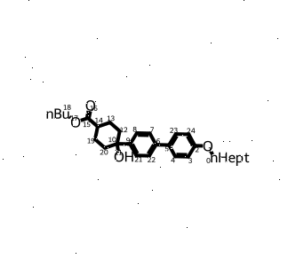 CCCCCCCOc1ccc(-c2ccc(C3(O)CCC(C(=O)OCCCC)CC3)cc2)cc1